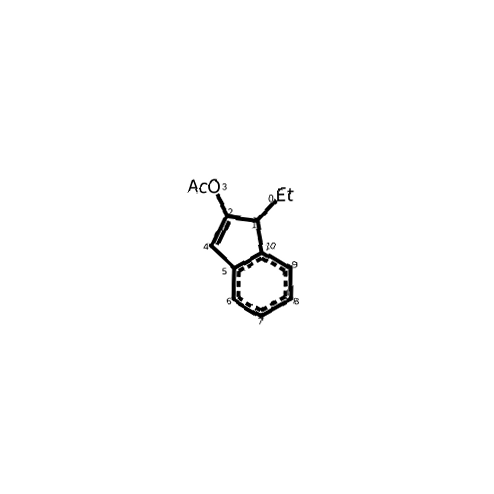 CCC1C(OC(C)=O)=Cc2ccccc21